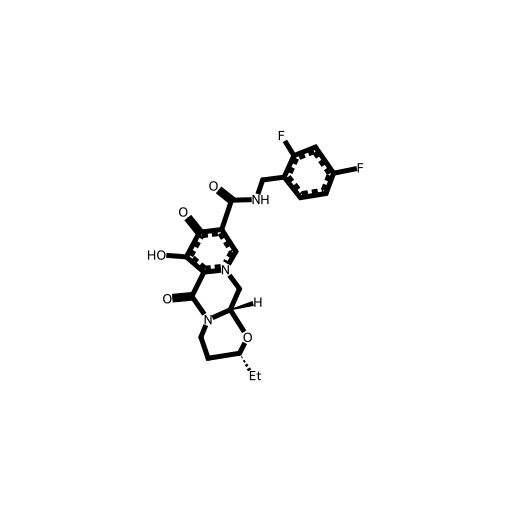 CC[C@@H]1CCN2C(=O)c3c(O)c(=O)c(C(=O)NCc4ccc(F)cc4F)cn3C[C@@H]2O1